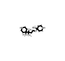 CC(C)(C)C1(OCCC(C)(C)C2(N)CCNCC2)CCNCC1